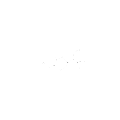 C=NN(C(C)N)C1CCN(CCO)CC1